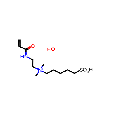 C=CC(=O)NCC[N+](C)(C)CCCCCS(=O)(=O)O.[OH-]